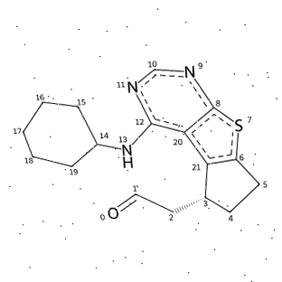 O=CC[C@H]1CCc2sc3ncnc(NC4CCCCC4)c3c21